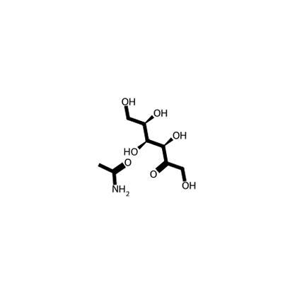 CC(N)=O.O=C(CO)[C@H](O)[C@@H](O)[C@H](O)CO